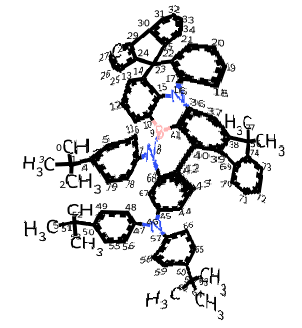 CC(C)(C)c1ccc(N2B3c4cccc5c4N(c4ccccc4C54c5ccccc5-c5ccccc54)c4cc5c(c(c43)-c3ccc(N(c4ccc(C(C)(C)C)cc4)c4ccc(C(C)(C)C)cc4)cc32)-c2ccccc2C5(C)C)cc1